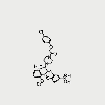 CCOc1ccccc1N1Oc2ccc(N(O)O)cc2N=C1C(C)N1CCN(C(=O)COc2ccc(Cl)cc2)CC1